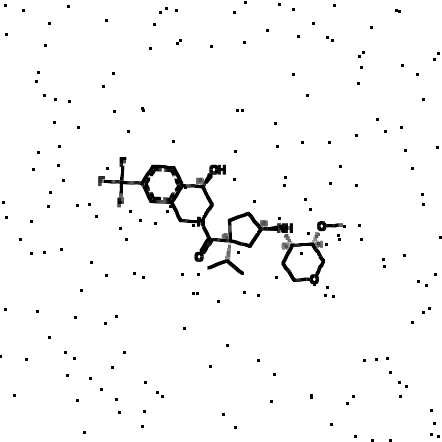 CO[C@@H]1COCC[C@@H]1N[C@@H]1CC[C@@](C(=O)N2Cc3cc(C(F)(F)F)ccc3[C@@H](O)C2)(C(C)C)C1